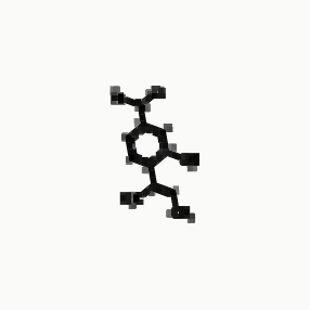 CC=C(C)c1ccc(N(CC)CC)cc1O